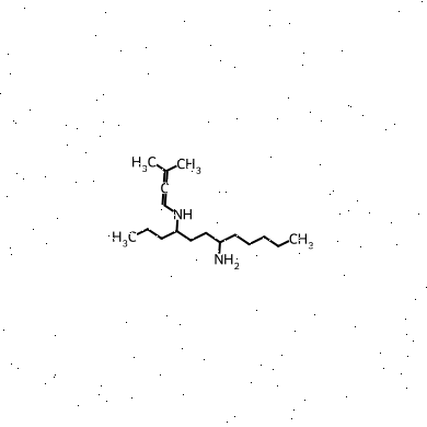 CCCCCC(N)CCC(CCC)NC=C=C(C)C